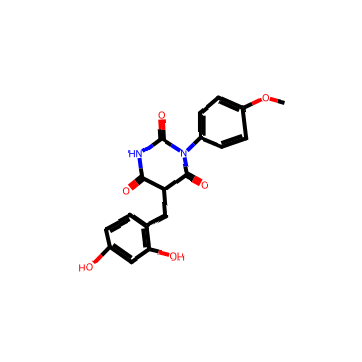 COc1ccc(N2C(=O)NC(=O)C(Cc3ccc(O)cc3O)C2=O)cc1